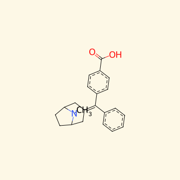 CN1C2CCC1CC(=C(c1ccccc1)c1ccc(C(=O)O)cc1)C2